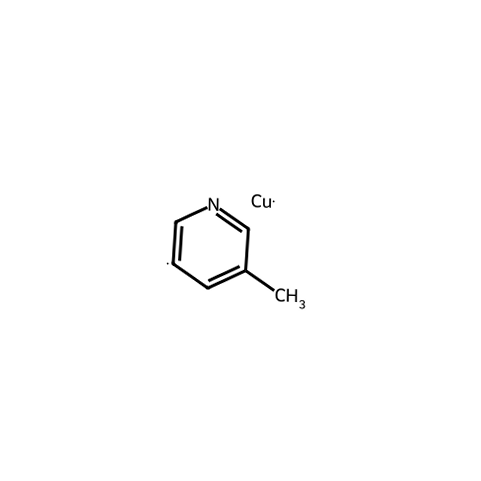 Cc1c[c]cnc1.[Cu]